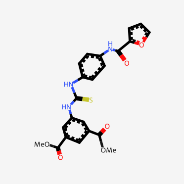 COC(=O)c1cc(NC(=S)Nc2ccc(NC(=O)c3ccco3)cc2)cc(C(=O)OC)c1